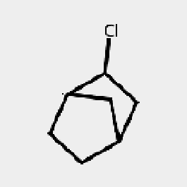 ClC1CC2CC[C]1C2